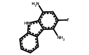 Nc1cc(F)c(N)c2c1[nH]c1ccccc12